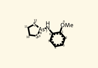 COc1ccccc1N[As]1SCCS1